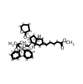 COC(=O)CCC/C=C1\C[C@H]2C[C@@H](OC3CCCCO3)[C@H](CO[Si](c3ccccc3)(c3ccccc3)C(C)(C)C)[C@H]2C1